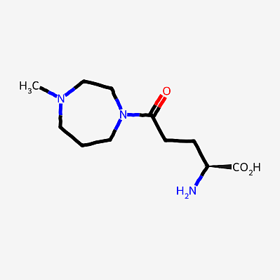 CN1CCCN(C(=O)CC[C@H](N)C(=O)O)CC1